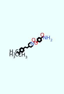 CC(C)(C)c1ccc(CCC2CCN(C(=O)Oc3ccc(C(N)=O)cc3)CC2)cc1